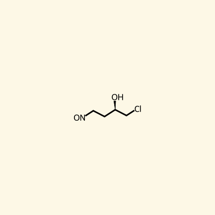 O=NCC[C@@H](O)CCl